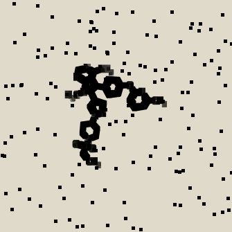 C=CS(=O)(=O)N1CCC(n2cc(-c3c(-c4ccc(Oc5cccc(C)n5)cc4)c4c(N)ncnc4n3C)cn2)CC1